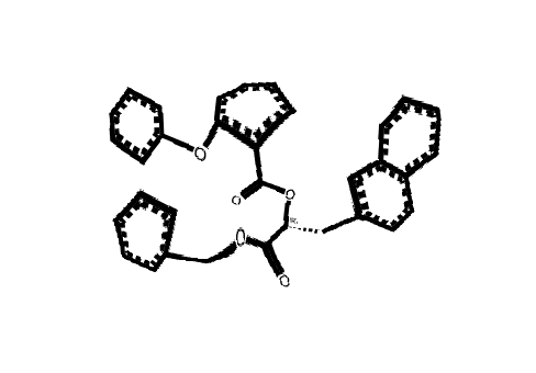 O=C(O[C@H](Cc1ccc2ccccc2c1)C(=O)OCc1ccccc1)c1ccccc1Oc1ccccc1